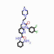 CN1CCN(CCN(Cc2ccc(C(=O)Nc3ccccc3N)nc2)C(=O)Nc2ccc(F)c(F)c2)CC1